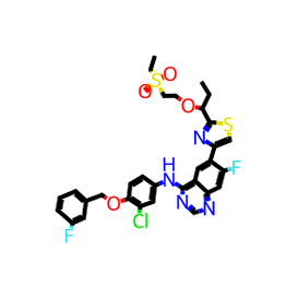 CCC(OCCS(=O)(=O)CC)c1nc(-c2cc3c(Nc4ccc(OCc5cccc(F)c5)c(Cl)c4)ncnc3cc2F)cs1